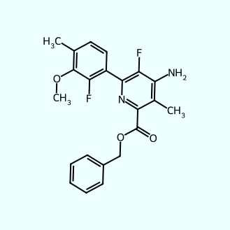 COc1c(C)ccc(-c2nc(C(=O)OCc3ccccc3)c(C)c(N)c2F)c1F